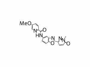 COc1ccc(C(=O)Nc2ccc3oc(-c4ccc(=O)n(C)n4)nc3c2)nc1